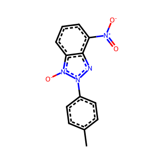 Cc1ccc(-n2nc3c([N+](=O)[O-])cccc3[n+]2[O-])cc1